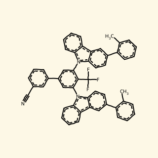 Cc1ccccc1-c1ccc2c(c1)c1ccccc1n2-c1cc(-c2cccc(C#N)c2)cc(-n2c3ccccc3c3cc(-c4ccccc4C)ccc32)c1C(F)(F)F